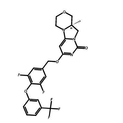 C[C@@]12COCCN1c1cc(OCc3cc(F)c(Oc4cccc(C(F)(F)F)c4)c(F)c3)nc(=O)n1C2